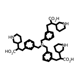 O=C(O)C(Cc1cccc(CN(Cc2cccc(CC(C(=O)O)C3CCCNC3)c2)Cc2cccc(CC(C(=O)O)C3CCCNC3)c2)c1)C1CCCNC1